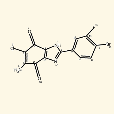 NC1=C(Cl)C(=O)c2[nH]c(-c3ccc(Br)c(F)c3)nc2C1=O